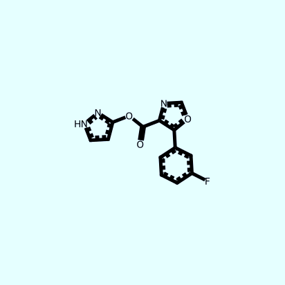 O=C(Oc1cc[nH]n1)c1ncoc1-c1cccc(F)c1